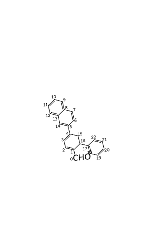 O=CC1=CC=C(c2ccc3ccccc3c2)CC1c1ccccc1